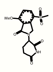 COc1ccc(S(C)(=O)=O)c2c1C(=O)N(C1CCC(=O)NC1=O)C2